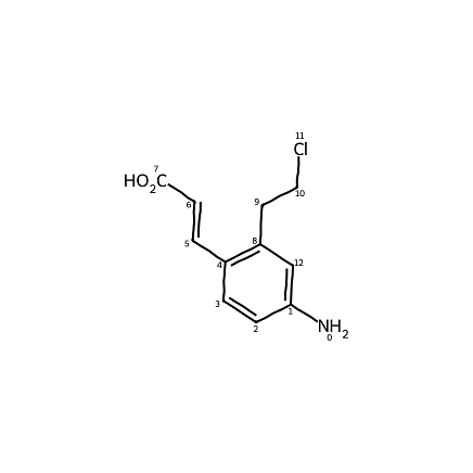 Nc1ccc(C=CC(=O)O)c(CCCl)c1